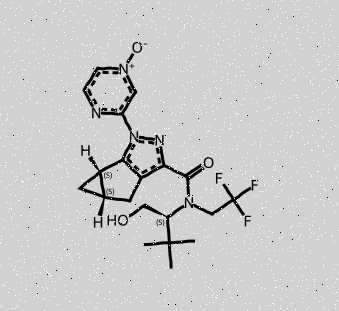 CC(C)(C)[C@@H](CO)N(CC(F)(F)F)C(=O)c1nn(-c2c[n+]([O-])ccn2)c2c1C[C@@H]1C[C@H]21